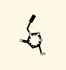 C#CCn1nnc(CCC)cc1=O